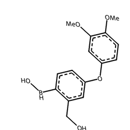 COc1ccc(Oc2ccc(BO)c(CO)c2)cc1OC